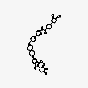 N#Cc1ccc(N2CCC(C(=O)Nc3ccc(N4CCC(CN5CCC6(CC5)CCN(c5ccc7c(c5)C(=O)N(C5CCC(=O)NC5=O)C7=O)CC6)CC4)cn3)CC2)cc1Cl